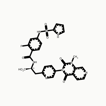 Cn1c(=O)n(-c2ccc(C[C@H](NC(=O)c3ccc(NS(=O)(=O)c4ccc[nH]4)cc3F)C(=O)O)nc2)c(=O)c2ccncc21